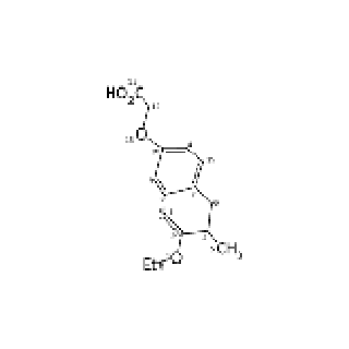 CCOC(=S)C(C)Cc1ccc(OCC(=O)O)cc1